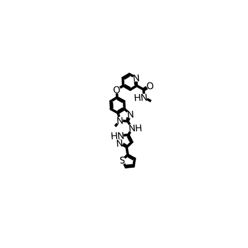 CNC(=O)c1cc(Oc2ccc3c(c2)nc(Nc2cc(-c4cccs4)n[nH]2)n3C)ccn1